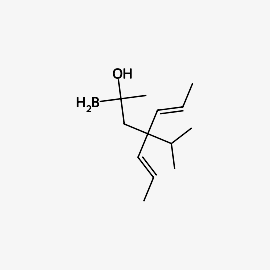 BC(C)(O)CC(C=CC)(C=CC)C(C)C